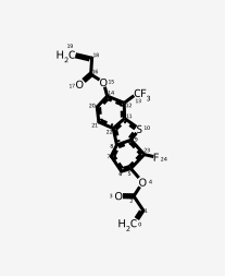 C=CC(=O)Oc1ccc2c(sc3c(C(F)(F)F)c(OC(=O)C=C)ccc32)c1F